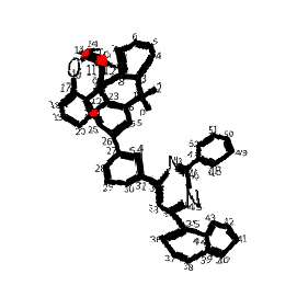 CC1(C)c2ccccc2C2(c3ccccc3Oc3ccccc32)c2ccc(-c3cccc(-c4cc(-c5cccc6ccccc56)nc(-c5ccccc5)n4)c3)cc21